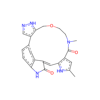 Cc1cc2c([nH]1)/C=C1\C(=O)Nc3ccc(cc31)-c1cn[nH]c1COCCN(C)C2=O